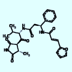 CC(C)[C@H](NC(=O)C[C@H](NC(=O)/C=C/c1ccco1)c1ccccc1)C(=O)[C@@H]1C(=O)NC(=O)[C@H]1C